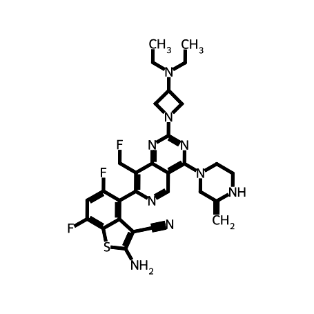 C=C1CN(c2nc(N3CC(N(CC)CC)C3)nc3c(CF)c(-c4c(F)cc(F)c5sc(N)c(C#N)c45)ncc23)CCN1